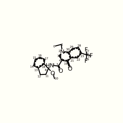 CCn1cc(C(=O)NC2(OC)CCc3ccccc32)c(=O)c2cc(C(F)(F)F)ccc21